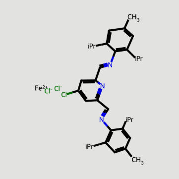 Cc1cc(C(C)C)c(N=Cc2cc(Cl)cc(C=Nc3c(C(C)C)cc(C)cc3C(C)C)n2)c(C(C)C)c1.[Cl-].[Cl-].[Fe+2]